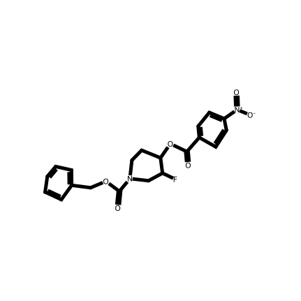 O=C(OC1CCN(C(=O)OCc2ccccc2)CC1F)c1ccc([N+](=O)[O-])cc1